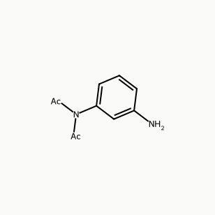 CC(=O)N(C(C)=O)c1cccc(N)c1